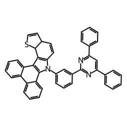 C1=CC2C=Cc3c(c4c5ccccc5c5ccccc5c4n3-c3cccc(-c4nc(-c5ccccc5)cc(-c5ccccc5)n4)c3)C2S1